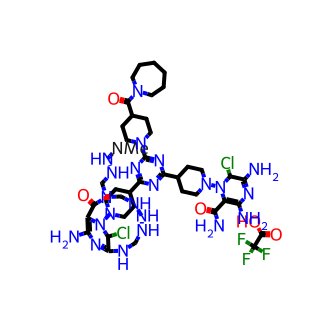 O=C(O)C(F)(F)F.[CH2]NNNCN1CNNNCNC2=NC(N)=C(C1=O)N(N1CCC(c3nc(C4CCN(N5C(C(N)=O)=C(N)N=C(N)C5Cl)CC4)nc(N4CCC(C(=O)N5CCCCCC5)CC4)n3)CC1)C2Cl